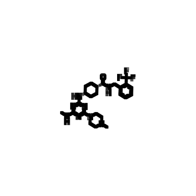 CNc1nc(N[C@H]2CC[C@@H](C(=O)NCc3ccccc3C(F)(F)F)CC2)nc(N2CCN(C)CC2)n1